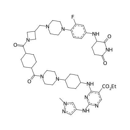 CCOC(=O)c1cnc(Nc2cnn(C)c2)nc1NC1CCC(N2CCN(C(=O)C3CCC(C(=O)N4CC(CN5CCN(c6ccc(NC7CCC(=O)NC7=O)cc6F)CC5)C4)CC3)CC2)CC1